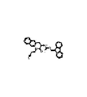 N#CCCNC(=O)C(Cc1ccc2ccccc2c1)NC(=O)OCC1c2ccccc2-c2ccccc21